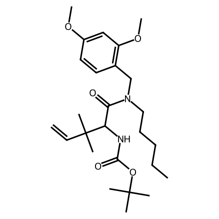 C=CC(C)(C)C(NC(=O)OC(C)(C)C)C(=O)N(CCCCC)Cc1ccc(OC)cc1OC